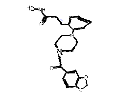 O=C(/C=C/c1ccccc1N1CCN(C(=O)c2ccc3c(c2)OCO3)CC1)NO